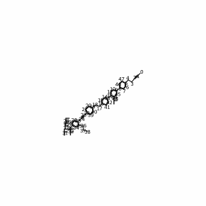 CC#CCCc1ccc(-c2ccc(-c3ccc(CCc4ccc(C#Cc5cc(F)c(C(F)(F)F)cc5CCC)cc4)cc3)c(F)c2)cc1